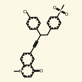 Cn1ccc(=O)c2cc(C#CC(Cc3ccc(S(C)(=O)=O)cc3)c3ccc(Cl)cc3)ccc21